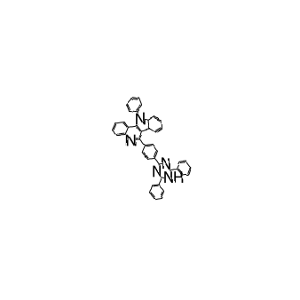 C1=CC2c3c(-c4ccc(C5=NC(c6ccccc6)NC(c6ccccc6)=N5)cc4)nc4ccccc4c3N(c3ccccc3)C2C=C1